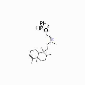 CC1=CCCC2C1(C)CCC(C)C2(C)CC/C(C)=C\COPP